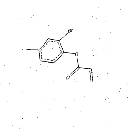 C=CC(=O)Oc1ccc(C)cc1Br